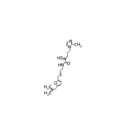 Cc1nccn1CCCN(S)C(=O)NCCSCc1ccc(CN(C)C)o1